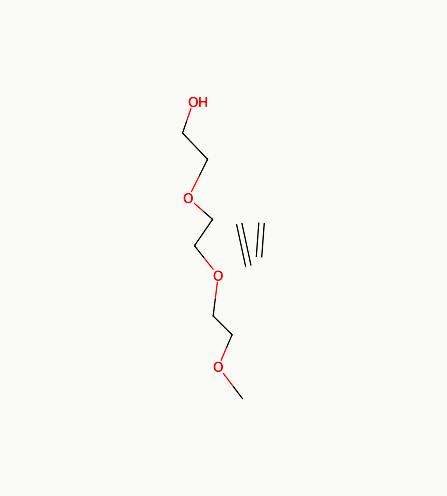 C=C.C=C.COCCOCCOCCO